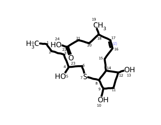 CCCCC(O)CSC1C(O)CC(O)C1C/C=C\C(C)CCC(=O)O